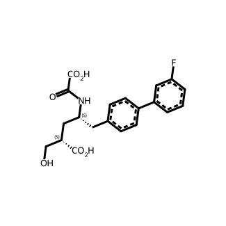 O=C(O)C(=O)N[C@H](Cc1ccc(-c2cccc(F)c2)cc1)C[C@@H](CO)C(=O)O